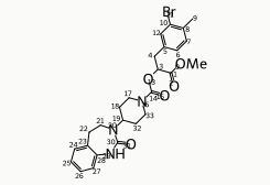 COC(=O)C(Cc1ccc(C)c(Br)c1)OC(=O)N1CCC(N2CCc3ccccc3NC2=O)CC1